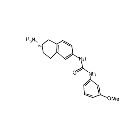 COc1cccc(NC(=O)Nc2ccc3c(c2)CC[C@H](N)C3)c1